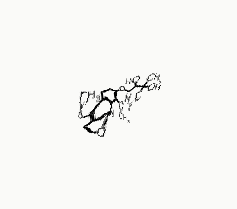 COc1c(OCC(O)C(C)(C)O)ccc2c1N=C1OC=CC1C2OC